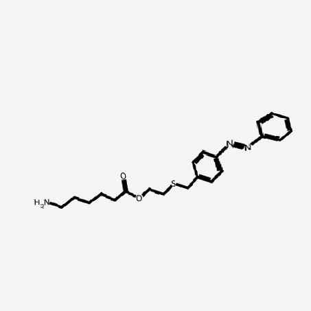 NCCCCCC(=O)OCCSCc1ccc(N=Nc2ccccc2)cc1